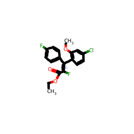 CCOC(=O)/C(F)=C(\c1ccc(F)cc1)c1ccc(Cl)cc1OC